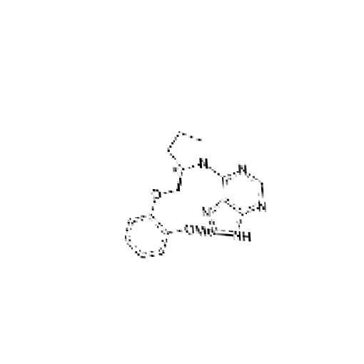 COc1ccccc1OC[C@H]1CCCN1c1ncnc2[nH]cnc12